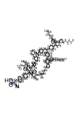 CCCCCCOc1ccc(-c2ccc(C(=Cc3ccc(N4c5ccc(-c6ccc(C7=C8C(=O)N(CC(CC)CCCC)C(c9ccc(C%10CC=C(/C=C(\C#N)C(=O)O)O%10)cc9)=C8C(=O)N7CC(CC)CCCC)s6)cc5C5CCCC54)cc3)c3ccc(-c4ccc(OCCCCCC)cc4OCCCCCC)cc3)cc2)c(OCCCCCC)c1